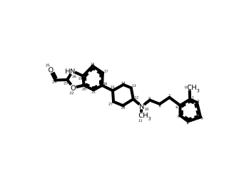 Cc1ccccc1CCCN(C)C1CCC(c2ccc3c(c2)OC(C=O)N3)CC1